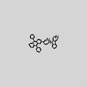 c1ccc(-c2c3ccccc3c(-c3ccccc3)c3cc(-c4ccc(-n5c6ccccc6c6cnccc65)nc4)ccc23)cc1